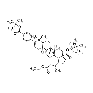 C=C(CC(=O)OCC)C1CCC2(C(=O)O[Si](C)(C)C(C)(C)C)CCC3(C)C(CCC4C5(C)CC=C(c6ccc(C(=O)OC(C)(C)C)cc6)C(C)(C)C5CCC43C)C12